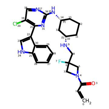 C=CC(=O)N1CC(F)(CN[C@H]2CCC[C@@H](Nc3ncc(Cl)c(-c4c[nH]c5ccccc45)n3)C2)C1